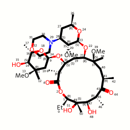 CC[C@H]1OC(=O)[C@H](C)[C@@H](O[C@H]2C[C@@](C)(OC)[C@@H](O)[C@H](C)O2)[C@H](C)[C@@H](O[C@@H]2O[C@H](C)C[C@H](N3CCOCC3)[C@H]2OC)[C@@](C)(OC)C[C@@H](C)C(=O)[C@H](C)[C@@H](O)[C@]1(C)O